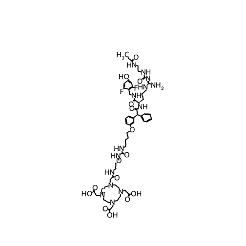 CCC(=O)NCCNC(=O)/N=C(/N)NCCC[C@@H](NC(=O)C(c1ccccc1)c1cccc(OCCCCNC(=O)NOCCNC(=O)CN2CCN(CC(=O)O)CCN(CC(=O)O)CCN(CC(=O)O)CC2)c1)C(=O)NCc1c(F)cc(O)cc1F